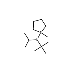 CC(C)N(C(C)(C)C)S1(C)CCCC1